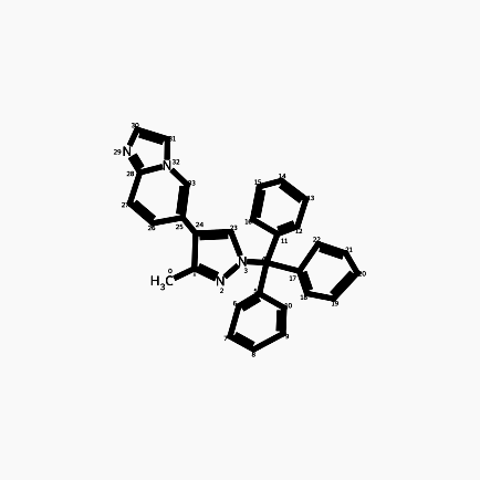 Cc1nn(C(c2ccccc2)(c2ccccc2)c2ccccc2)cc1-c1ccc2nccn2c1